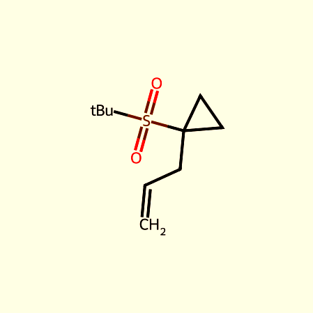 C=CCC1(S(=O)(=O)C(C)(C)C)CC1